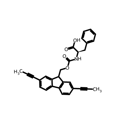 CC#Cc1ccc2c(c1)C(COC(=O)N[C@H](Cc1ccccc1)C(=O)O)c1cc(C#CC)ccc1-2